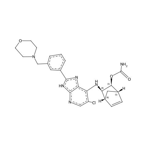 NC(=O)O[C@@H]1[C@H](Nc2c(Cl)cnc3[nH]c(-c4cccc(CN5CCOCC5)c4)nc23)[C@H]2C=C[C@@H]1C2